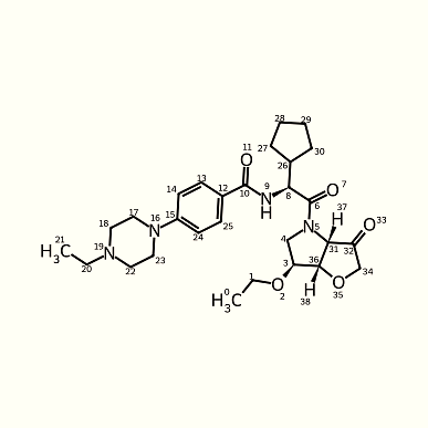 CCO[C@H]1CN(C(=O)[C@@H](NC(=O)c2ccc(N3CCN(CC)CC3)cc2)C2CCCC2)[C@@H]2C(=O)CO[C@H]12